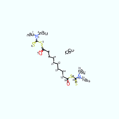 CCCCN(CCCC)C(=S)SC(=O)CCCCCCCCC(=O)SC(=S)N(CCCC)CCCC.[Cu].[Cu]